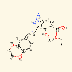 CCOC(=O)c1ccc2[nH]nc(/C=C/c3ccc4c(c3)OCCO4)c2c1OC